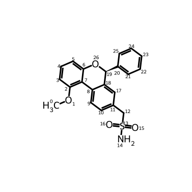 COc1cccc2c1-c1ccc(CS(N)(=O)=O)cc1[C@H](c1ccccc1)O2